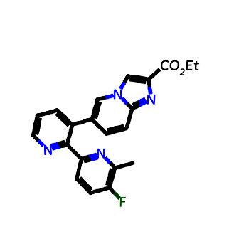 CCOC(=O)c1cn2cc(-c3cccnc3-c3ccc(F)c(C)n3)ccc2n1